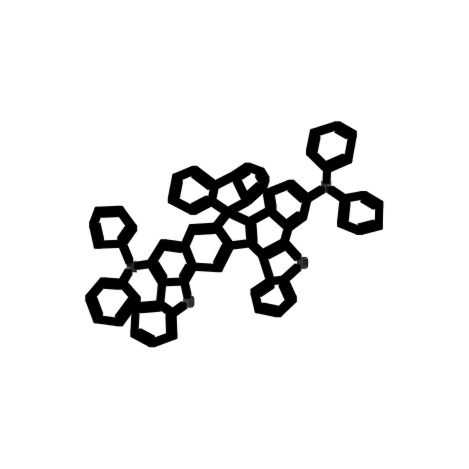 c1ccc(N(c2ccccc2)c2ccc3c4c(c5c6ccccc6oc5c3c2)-c2cc3c(cc2C42c4ccccc4-c4ccccc42)cc(N(c2ccccc2)c2ccccc2)c2c4ccccc4oc32)cc1